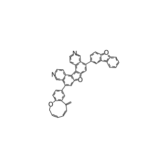 C=C1/C=C\C=C/COc2ccc(-c3cc4oc5cc(-c6ccc7oc8ccccc8c7c6)c6cnccc6c5c4c4ccncc34)cc21